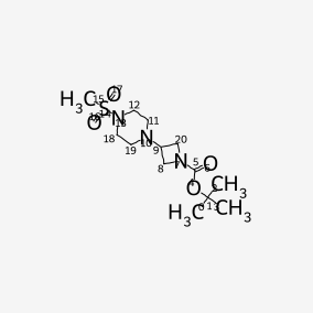 CC(C)(C)OC(=O)N1CC(N2CCN(S(C)(=O)=O)CC2)C1